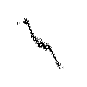 C=CC(=O)OCCCCCCCCOc1ccc(-c2ccc(OC(=O)c3ccc(OCCCCCCCC4CC(=C)C(=O)O4)cc3)cc2)cc1